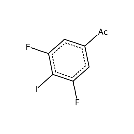 CC(=O)c1cc(F)c(I)c(F)c1